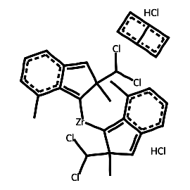 Cc1cccc2c1=[C]([Zr][C]1=c3c(C)cccc3=CC1(C)C(Cl)Cl)C(C)(C(Cl)Cl)C=2.Cl.Cl.c1cc2ccc1-2